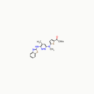 COC(=O)c1ccc(N(C)c2cc(C)c(Nc3nc4ccccc4s3)nn2)s1